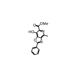 COC(=O)c1nc(C)c2nc(-c3ccccc3)oc2c1O